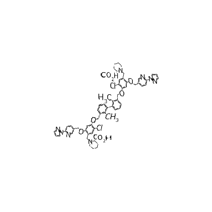 Cc1c(COc2cc(OCc3ccc(-n4cccn4)nc3)c(CN3CCCC[C@H]3C(=O)O)cc2Cl)cccc1-c1cccc(COc2cc(OCc3ccc(-n4cccn4)nc3)c(CN3CCCC[C@H]3C(=O)O)cc2Cl)c1C